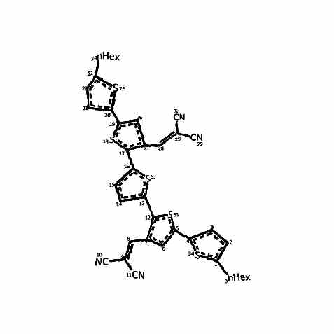 CCCCCCc1ccc(-c2cc(C=C(C#N)C#N)c(-c3ccc(-c4sc(-c5ccc(CCCCCC)s5)cc4C=C(C#N)C#N)s3)s2)s1